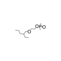 CCCC(CC)COCCOP(C)(C)=O